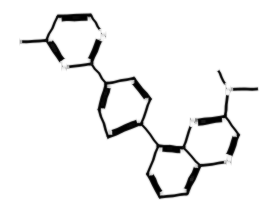 CN(C)c1cnc2cccc(-c3ccc(-c4nccc(I)n4)cc3)c2n1